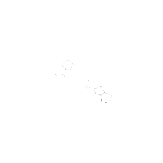 CC(=O)N1CC2(CCC(C(=O)Nc3cnc4ccccc4c3)CC2)c2ccccc21